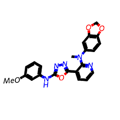 COc1cccc(Nc2nnc(-c3cccnc3N(C)c3ccc4c(c3)OCO4)o2)c1